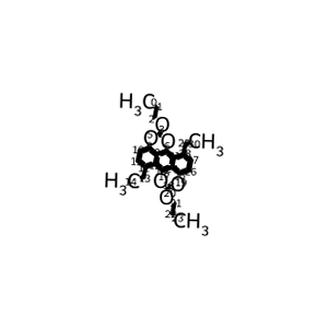 CCCOC(=O)Oc1c2cccc(CC)c2c(OC(=O)OCCC)c2cccc(CC)c12